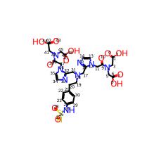 O=C(O)CN(CC(=O)O)C(=O)Cn1ccnc1CN(CCc1ccc(N[SH](=O)=O)cc1)Cc1nccn1CC(=O)N(CC(=O)O)CC(=O)O